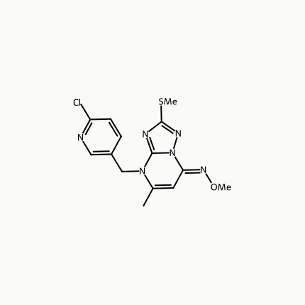 CO/N=c1\cc(C)n(Cc2ccc(Cl)nc2)c2nc(SC)nn12